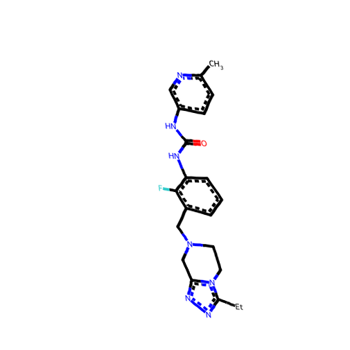 CCc1nnc2n1CCN(Cc1cccc(NC(=O)Nc3ccc(C)nc3)c1F)C2